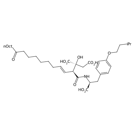 CCCCCCCCC(=O)CCCCCC/C=C/[C@H](C(=O)N[C@@H](Cc1ccc(OCCC(C)C)cc1)C(=O)O)[C@@](O)(CC(=O)O)C(=O)O